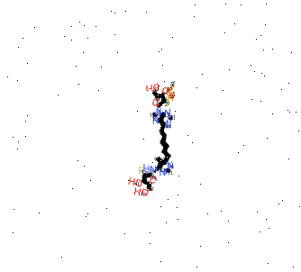 Cc1c(CC/C=C/CCc2ncnc3c2ncn3[C@@H]2OC(CO)[C@@H](O[PH](C)=O)[C@H]2F)ncnc1N[C@@H]1OC(CO)[C@@H](O)[C@H]1F